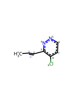 C/C=C/c1nnccc1Cl